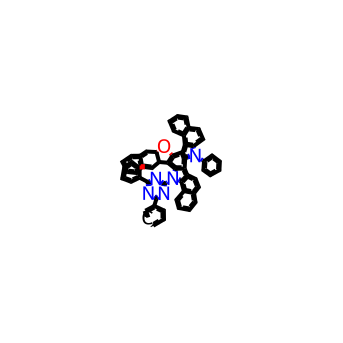 C1=c2ccccc2=CC2c3c(c4c5c6ccccc6ccc5n(-c5ccccc5)c4c4c5ccc6ccccc6c5n(-c5nc(-c6ccccc6)nc(-c6ccccc6)n5)c34)OC12